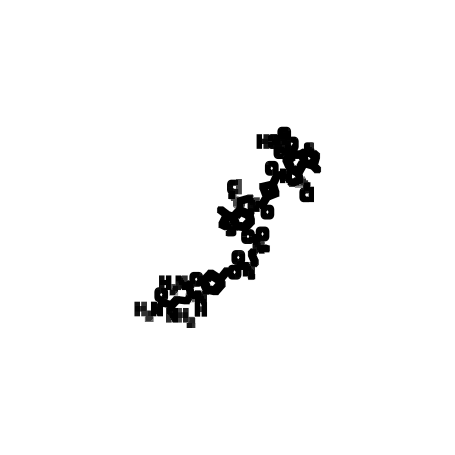 Cc1csc2c(OC(=O)N(C)CCN(C)C(=O)OCc3ccc(N[C@@H](CCC(N)C(N)=O)C(N)=O)cc3)cc3c(c12)[C@H](CCl)CN3C(=O)C12CC(C(=O)N3C[C@@H](CCl)c4c3cc(OP(=O)(O)O)c3scc(C)c43)(C1)C2